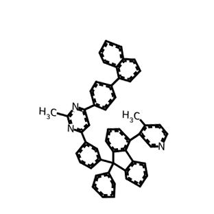 Cc1nc(-c2ccc(-c3cccc4ccccc34)cc2)cc(-c2cccc(C3(c4ccccc4)c4ccccc4-c4c(-c5cnccc5C)cccc43)c2)n1